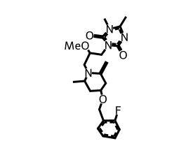 C=C1CC(OCc2ccccc2F)CC(C)N1CC(Cn1c(=O)nc(C)n(C)c1=O)OC